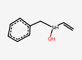 C=C[SiH](O)Cc1ccccc1